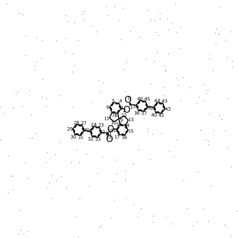 O=C(Oc1cccc2c1C1(CC2)CCc2cccc(OC(=O)c3ccc(-c4ccccc4)cc3)c21)c1ccc(-c2ccccc2)cc1